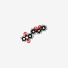 O=C1c2ccccc2C(=O)c2cc(-c3ccc4oc5c(ccc6c7ccccc7oc65)c4c3)ccc21